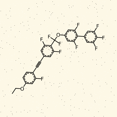 CCOc1ccc(C#Cc2cc(F)c(C(F)(F)Oc3cc(F)c(-c4cc(F)c(F)c(F)c4)c(F)c3)c(F)c2)c(F)c1